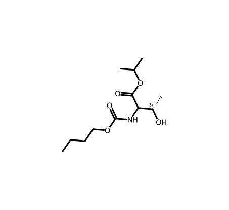 CCCCOC(=O)NC(C(=O)OC(C)C)[C@H](C)O